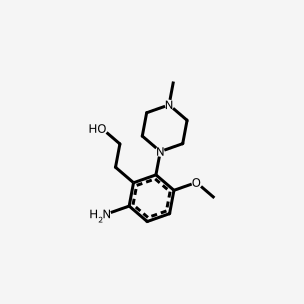 COc1ccc(N)c(CCO)c1N1CCN(C)CC1